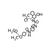 COCC[C@H](C)Oc1ccc(C(=O)Nc2ccc3nc(C(=O)N4CC(CCl)c5c4cc(O)c4cccc(C)c54)cn3c2)cc1